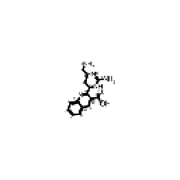 N=C(N)NC(CCCN)c1nc2ccccc2cc1C(=O)O